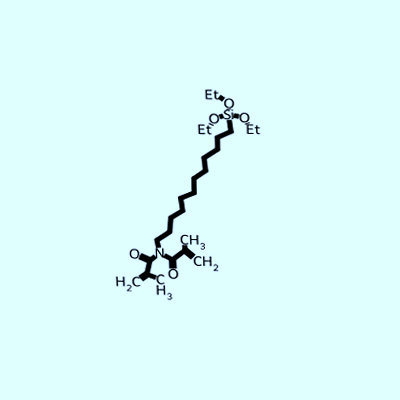 C=C(C)C(=O)N(CCCCCCCCCCCC[Si](OCC)(OCC)OCC)C(=O)C(=C)C